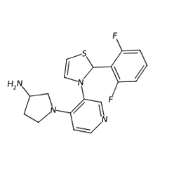 NC1CCN(c2ccncc2N2C=CSC2c2c(F)cccc2F)C1